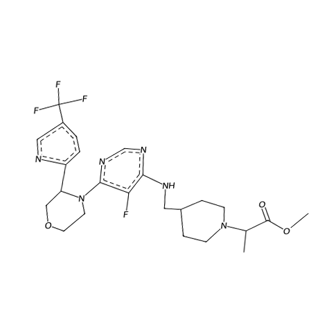 COC(=O)C(C)N1CCC(CNc2ncnc(N3CCOCC3c3ccc(C(F)(F)F)cn3)c2F)CC1